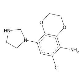 Nc1c(Cl)cc(N2CCNC2)c2c1OCCO2